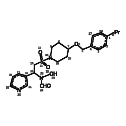 CC(C)c1ccc(COC2CCN(S(=O)(=O)CC(c3cccnc3)N(O)C=O)CC2)cc1